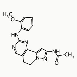 COc1ccccc1Nc1ncc2c(n1)-c1cc(NC(C)=O)nn1CC2